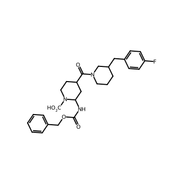 O=C(NC1CC(C(=O)N2CCCC(Cc3ccc(F)cc3)C2)CCN1C(=O)O)OCc1ccccc1